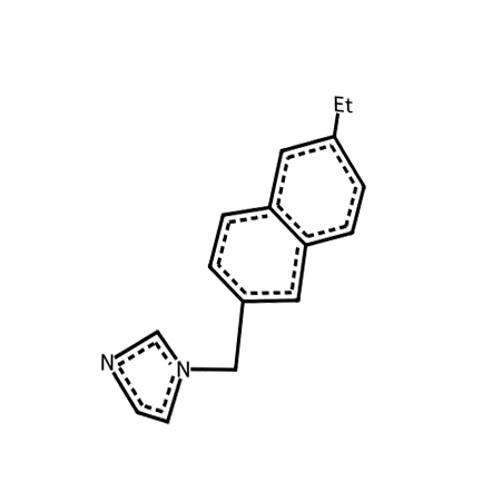 CCc1ccc2cc(Cn3ccnc3)ccc2c1